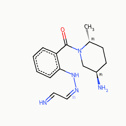 C[C@@H]1CC[C@@H](N)CN1C(=O)c1ccccc1N/N=C\C=N